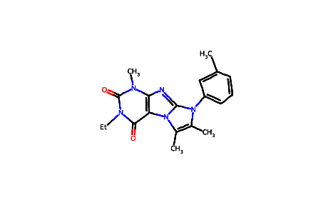 CCn1c(=O)c2c(nc3n(-c4cccc(C)c4)c(C)c(C)n23)n(C)c1=O